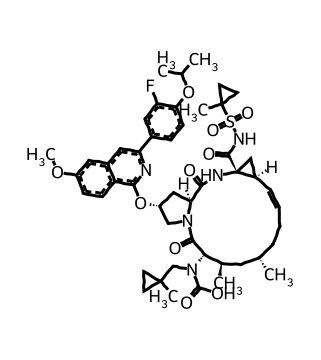 COc1ccc2c(O[C@@H]3C[C@H]4C(=O)N[C@]5(C(=O)NS(=O)(=O)C6(C)CC6)C[C@H]5C=CCC[C@H](C)C[C@@H](C)[C@H](N(CC5(C)CC5)C(=O)O)C(=O)N4C3)nc(-c3ccc(OC(C)C)c(F)c3)cc2c1